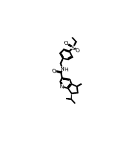 CCS(=O)(=O)c1ccc(CNC(=O)c2cnc3c(c2)C(C)C[C@H]3C(C)C)cc1